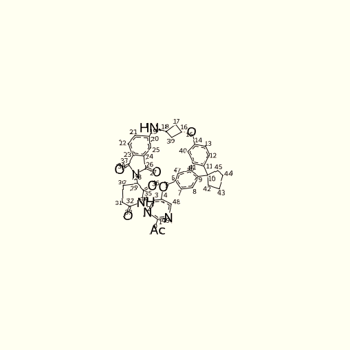 CC(=O)c1ncc(Oc2ccc(C3(c4ccc(O[C@H]5C[C@H](Nc6ccc7c(c6)C(=O)N(C6CCC(=O)NC6=O)C7=O)C5)cc4)CCCC3)cc2)cn1